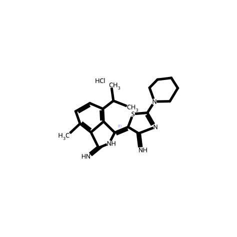 Cc1ccc(C(C)C)c2c1C(=N)N/C2=C1/SC(N2CCCCC2)=NC1=N.Cl